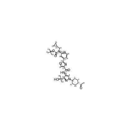 CC(=O)[C@H]1CC[C@H](n2cc(NC(=O)c3coc(-c4ccnc(N(CC5CC5)C(=O)OC(C)(C)C)c4)n3)c(C(C)(C)O)n2)CC1